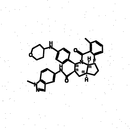 Cc1cccc(F)c1C(=O)N1[C@H](c2ccc(NC3CCOCC3)cc2)[C@H](C(=O)Nc2ccc3c(cnn3C)c2)C[C@@H]2CCC[C@@H]21